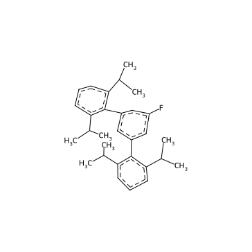 CC(C)c1cccc(C(C)C)c1-c1cc(F)cc(-c2c(C(C)C)cccc2C(C)C)c1